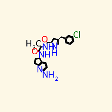 C[C@H](NC(=O)[C@H]1C[C@H](Cc2cccc(Cl)c2)CN1)C(=O)NC1CCc2nc(N)ccc21